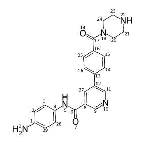 Nc1ccc(NC(=O)c2cncc(-c3ccc(C(=O)N4CCNCC4)cc3)c2)cc1